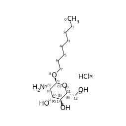 CCCCCCCCO[C@H]1O[C@H](CO)[C@@H](O)[C@H](O)[C@@H]1N.Cl